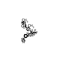 Cc1nc(C)n(CC(=O)N2CCN(c3sc(C(F)(F)F)nc3-c3nc4ccc(-n5cncn5)cc4[nH]3)CC2C)n1